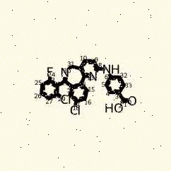 O=C(O)c1ccc(Nc2ccc3c(n2)-c2ccc(Cl)cc2C(c2c(F)cccc2Cl)=NC3)cc1